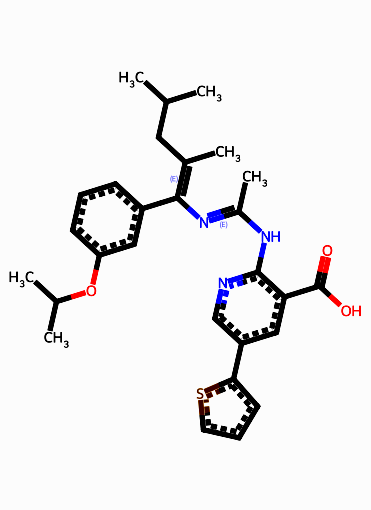 C/C(=N\C(=C(/C)CC(C)C)c1cccc(OC(C)C)c1)Nc1ncc(-c2cccs2)cc1C(=O)O